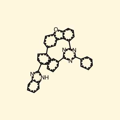 c1ccc(-c2nc(-c3ccccc3)nc(-c3cccc4oc5ccc(-c6ccc(-c7nc8ccccc8[nH]7)cc6)cc5c34)n2)cc1